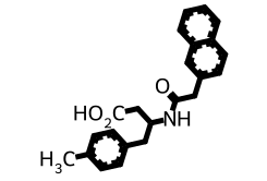 Cc1ccc(CC(CC(=O)O)NC(=O)Cc2ccc3ccccc3c2)cc1